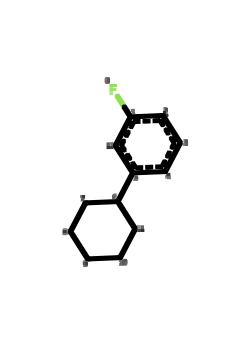 Fc1[c]ccc(C2CCCCC2)c1